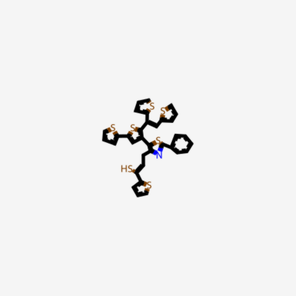 S/C(=C\Cc1nc(-c2ccccc2)sc1-c1cc(-c2cccs2)sc1/C(=C/c1cccs1)c1cccs1)c1cccs1